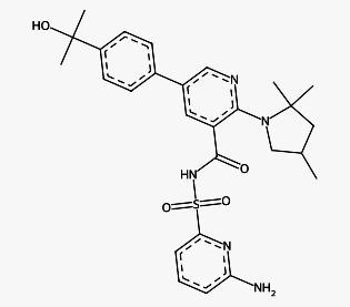 CC1CN(c2ncc(-c3ccc(C(C)(C)O)cc3)cc2C(=O)NS(=O)(=O)c2cccc(N)n2)C(C)(C)C1